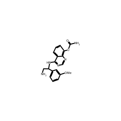 COc1cccc(C(CN)Nc2ncnc3c(OC(N)=O)cccc23)c1